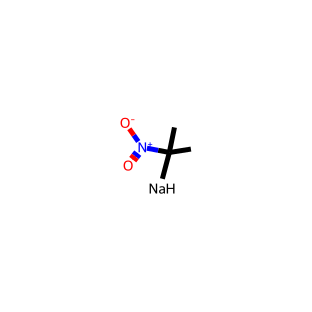 CC(C)(C)[N+](=O)[O-].[NaH]